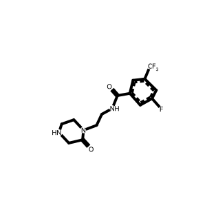 O=C(NCCN1CCNCC1=O)c1cc(F)cc(C(F)(F)F)c1